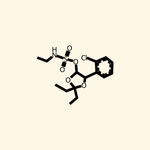 CCNS(=O)(=O)OC1OC(CC)(CC)OC1c1ccccc1Cl